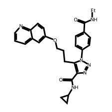 CCNC(=O)c1ccc(-n2nnc(C(=O)NC3CC3)c2CCCOc2ccc3ncccc3c2)cc1